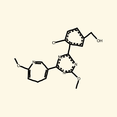 COC1=CCC=C(c2nc(OC)nc(-c3cc(CO)ccc3Cl)n2)C=N1